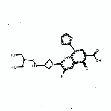 O=C(O)c1cn(-c2nccs2)c2nc(N3CC(NOC(CO)CO)C3)c(F)cc2c1=O